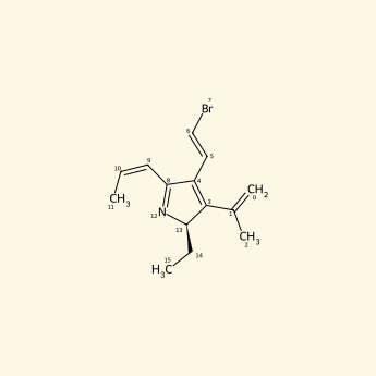 C=C(C)C1=C(/C=C/Br)C(/C=C\C)=N[C@@H]1CC